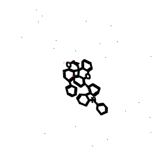 C1=CCCC(N2c3cccc(-c4cccc5c4Oc4ccccc4C54c5ccccc5Oc5ccc(-c6ccccc6)cc54)c3C3C=CCCC32)=C1